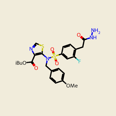 COc1ccc(CN(c2scnc2C(=O)OCC(C)C)S(=O)(=O)c2ccc(CC(=O)NN)c(F)c2)cc1